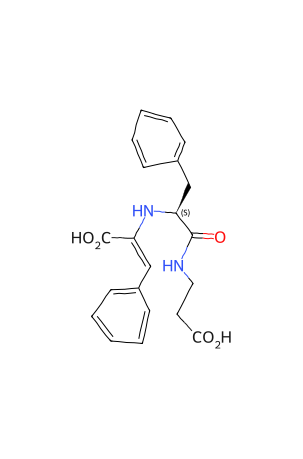 O=C(O)CCNC(=O)[C@H](Cc1ccccc1)NC(=Cc1ccccc1)C(=O)O